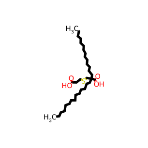 CCCCCCCCCCCCCCC(CCCCCCCCCCCCCC)(CSCCC(=O)O)C(=O)O